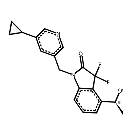 C[C@H](O)c1cccc2c1C(F)(F)C(=O)N2Cc1cncc(C2CC2)c1